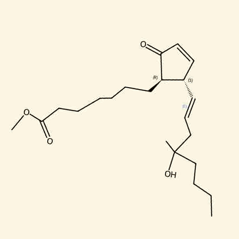 CCCCC(C)(O)C/C=C/[C@H]1C=CC(=O)[C@@H]1CCCCCCC(=O)OC